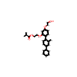 C=C(C)C(=O)OCCOc1cc(OCCO)ccc1-c1ccc(-c2ccccc2)cc1C